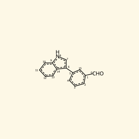 O=Cc1cccc(-c2c[nH]c3ccccc23)c1